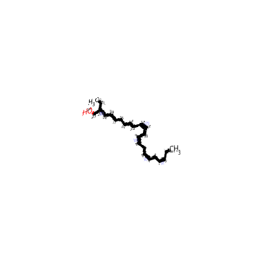 CC/C=C\C/C=C\C/C=C\C/C=C\CC=CCC=C/C=C(\CC)CO